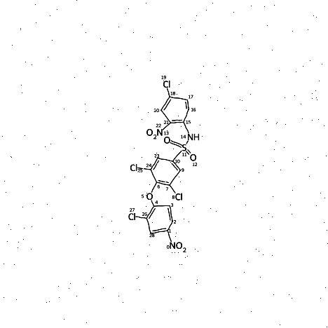 O=[N+]([O-])c1ccc(Oc2c(Cl)cc(S(=O)(=O)Nc3ccc(Cl)cc3[N+](=O)[O-])cc2Cl)c(Cl)c1